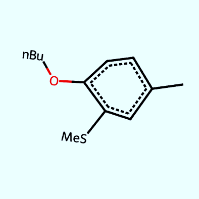 CCCCOc1ccc(C)cc1SC